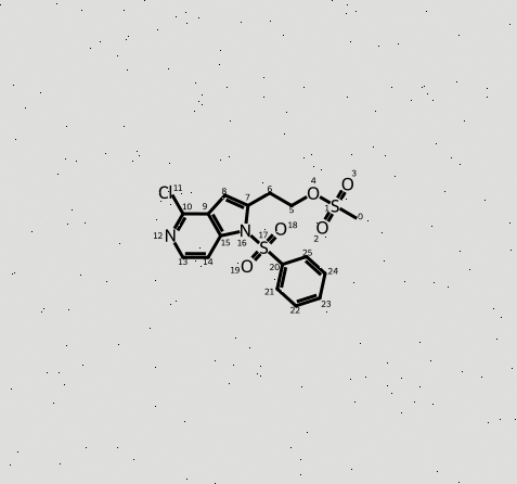 CS(=O)(=O)OCCc1cc2c(Cl)nccc2n1S(=O)(=O)c1ccccc1